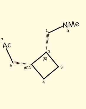 CNC[C@@H]1CC[C@@H]1CC(C)=O